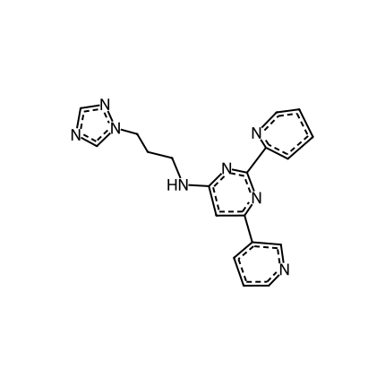 c1ccc(-c2nc(NCCCn3cncn3)cc(-c3cccnc3)n2)nc1